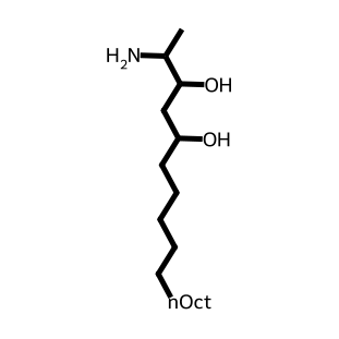 CCCCCCCCCCCCCC(O)CC(O)C(C)N